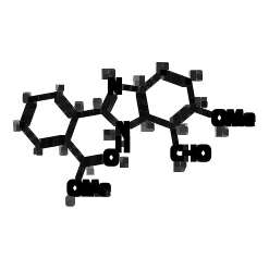 COC(=O)c1ccccc1-c1nc2ccc(OC)c(C=O)c2[nH]1